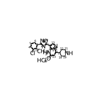 Cc1c(Cl)cccc1-c1noc(-c2cnn3c(C4CCNCC4)cc(=O)[nH]c23)n1.Cl